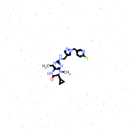 Cc1nc(NCc2cnn(Cc3ccc(F)nc3)c2)nc2c1NC(=O)C(C1CC1)N2C